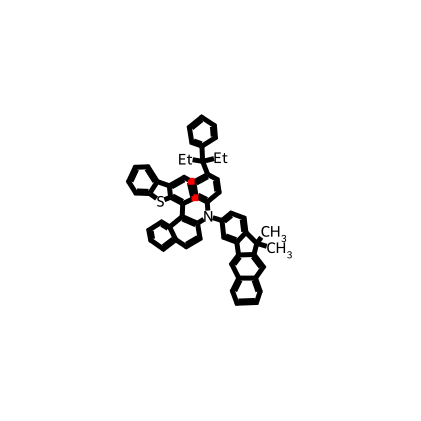 CCC(CC)(c1ccccc1)c1ccc(N(c2ccc3c(c2)-c2cc4ccccc4cc2C3(C)C)c2ccc3ccccc3c2-c2cccc3c2sc2ccccc23)cc1